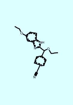 CCOc1ccc2[nH]c(C(OCC)c3ccc(C#N)cc3)nc2c1